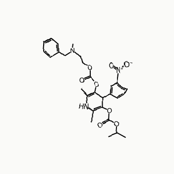 CC1=C(OC(=O)OCCN(C)Cc2ccccc2)C(c2cccc([N+](=O)[O-])c2)C(OC(=O)OC(C)C)=C(C)N1